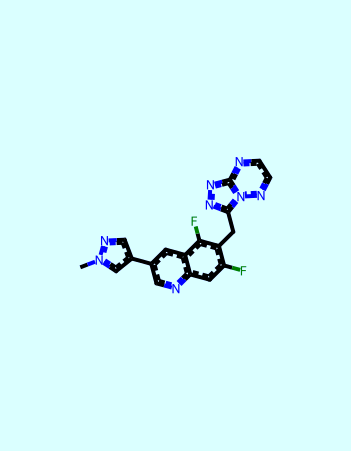 Cn1cc(-c2cnc3cc(F)c(Cc4nnc5nccnn45)c(F)c3c2)cn1